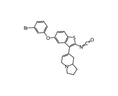 O=C=Nc1sc2ccc(Oc3cccc(Br)c3)cc2c1C1=CCN2CCCC2C1